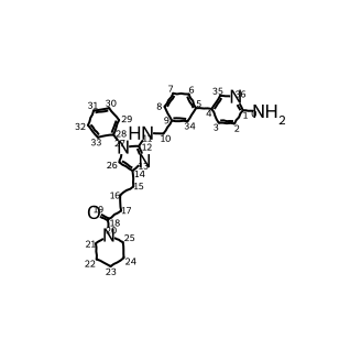 Nc1ccc(-c2cccc(CNc3nc(CCCC(=O)N4CCCCC4)cn3-c3ccccc3)c2)cn1